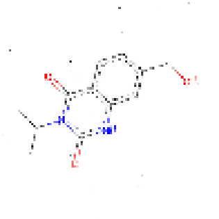 CC(C)n1c(=O)[nH]c2cc(CO)ccc2c1=O